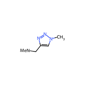 CNCc1cn(C)nn1